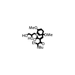 CCCCC(CC)C(=O)C(=CC1(OC)C=CC(OC)=CC1)C(=O)OCC(O)CO